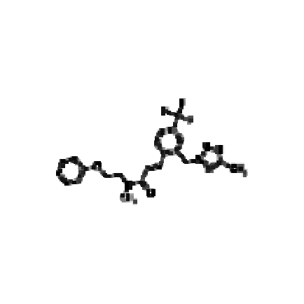 Cc1nnn(Cc2cc(C(F)(F)F)ccc2C=CC(=O)N(C)CCOc2ccccc2)n1